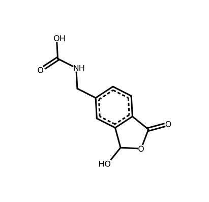 O=C(O)NCc1ccc2c(c1)C(O)OC2=O